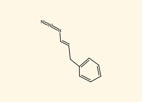 [N-]=[N+]=NC=CCc1ccccc1